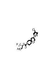 O=C(O[C@H](CO)C(F)(F)F)N1CCC2(CC1)CC(n1cc(Cl)cn1)CO2